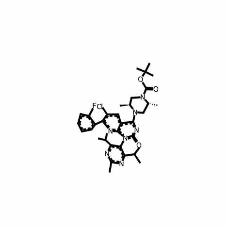 Cc1nc(C(C)C)c(-n2c(=O)nc(N3C[C@@H](C)N(C(=O)OC(C)(C)C)C[C@@H]3C)c3cc(Cl)c(-c4ccccc4F)nc32)c(C(C)C)n1